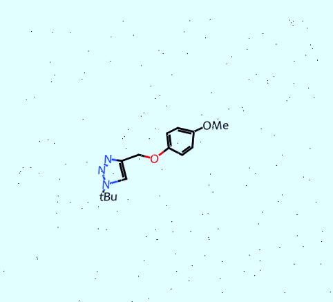 COc1ccc(OCc2cn(C(C)(C)C)nn2)cc1